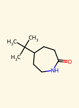 CC(C)(C)C1CCNC(=O)CC1